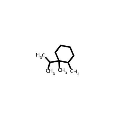 CC(C)C1(C)CCCCC1C